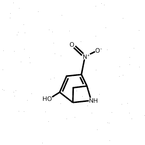 O=[N+]([O-])C1=C2CC(N2)C(O)=C1